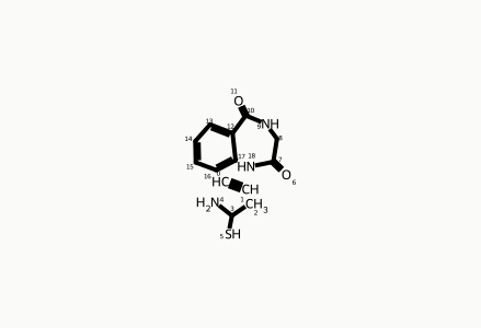 C#C.CC(N)S.O=C1CNC(=O)c2ccccc2N1